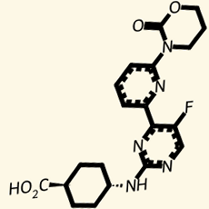 O=C1OCCCN1c1cccc(-c2nc(N[C@H]3CC[C@H](C(=O)O)CC3)ncc2F)n1